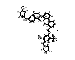 COc1cc(/C=C/c2cccc(-c3cccc(-n4ccc5cc(CN6CC[C@@H](O)C6)ccc5c4=O)c3C)c2C)c(C(F)(F)F)cc1CN1CCCC1